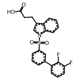 O=C(O)CCc1cn(S(=O)(=O)c2cccc(-c3cccc(F)c3F)c2)c2ccccc12